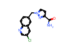 NC(=O)c1ccn(Cc2ccc3ncc(Cl)cc3c2)n1